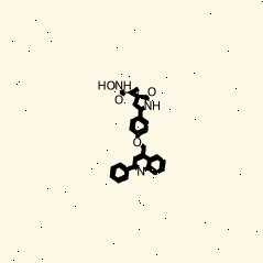 O=C(NO)[C@@H]1C[C@]12CC(c1ccc(OCc3cc(-c4ccccc4)nc4ccccc34)cc1)NC2=O